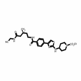 CCOC(=O)N1CCC(Nc2nc(-c3ccc(C(=O)NCC[C@H](C)CC(=O)NCC#N)cc3)cs2)CC1